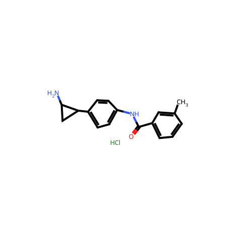 Cc1cccc(C(=O)Nc2ccc(C3CC3N)cc2)c1.Cl